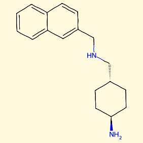 N[C@H]1CC[C@H](CNCc2ccc3ccccc3c2)CC1